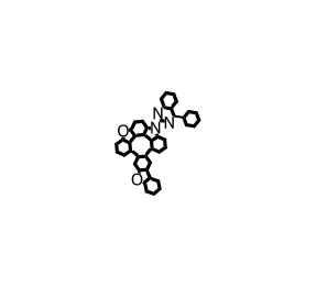 c1ccc(-c2nc(-n3c4cccc5c6cc7c(cc6c6cccc8oc9ccc3c(c9c86)c54)oc3ccccc37)nc3ccccc23)cc1